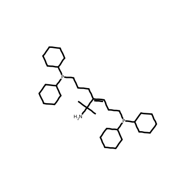 CC(C)(N)C(=CCCP(C1CCCCC1)C1CCCCC1)CCCP(C1CCCCC1)C1CCCCC1